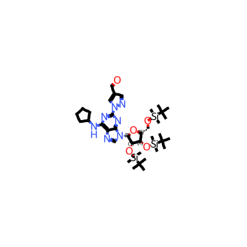 CC(C)(C)[Si](C)(C)OC[C@H]1O[C@@H](n2cnc3c(NC4CCCC4)nc(-n4cc(C=O)cn4)nc32)[C@@H](O[Si](C)(C)C(C)(C)C)[C@@H]1O[Si](C)(C)C(C)(C)C